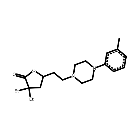 CCC1(CC)CC(CCN2CCN(c3cccc(C)c3)CC2)OC1=O